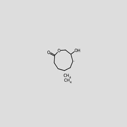 C.C.O=C1CCCC[CH]C(O)CO1